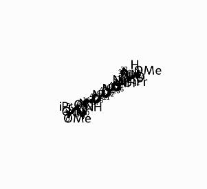 COC(=O)N[C@H](C(=O)N1CCC[C@H]1c1ncc(-c2ccc(-c3ccc(-c4ccc5[nH]c([C@@H]6CCCN6C(=O)[C@@H](NC(=O)OC)C(C)C)nc5c4)nc3)nc2)[nH]1)C(C)C